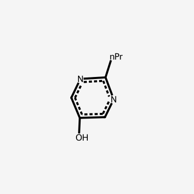 CCCc1ncc(O)cn1